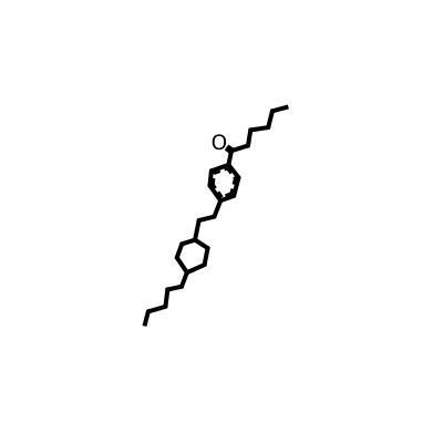 CCCCCC(=O)c1ccc(CCC2CCC(CCCCC)CC2)cc1